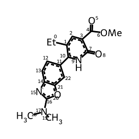 CCc1cc(C(=O)OC)c(=O)[nH]c1-c1ccc2nc(N(C)C)oc2c1